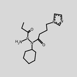 CCC(=O)N(N)N(C(=O)CCCn1ccnc1)C1CCCCC1